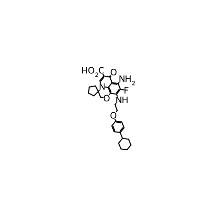 Nc1c(F)c(NCCOc2ccc(C3CCCCC3)cc2)c2c3c1c(=O)c(C(=O)O)cn3C1(CCCC1)CO2